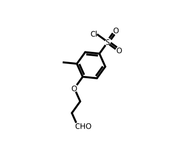 Cc1cc(S(=O)(=O)Cl)ccc1OCCC=O